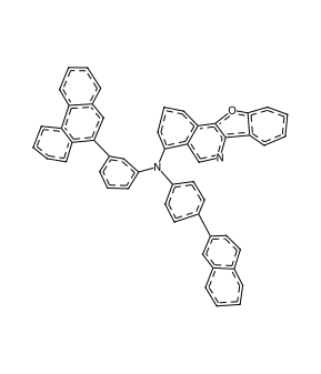 c1cc(-c2cc3ccccc3c3ccccc23)cc(N(c2ccc(-c3ccc4ccccc4c3)cc2)c2cccc3c2cnc2c4ccccc4oc32)c1